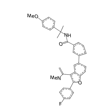 C=C(NC)c1c(-c2ccc(F)cc2)oc2ccc(-c3cccc(C(=O)NC(C)(C)c4ccc(OC)cc4)c3)cc12